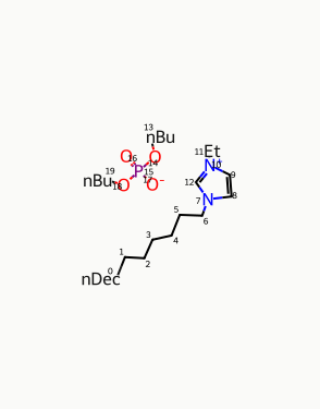 CCCCCCCCCCCCCCCCn1cc[n+](CC)c1.CCCCOP(=O)([O-])OCCCC